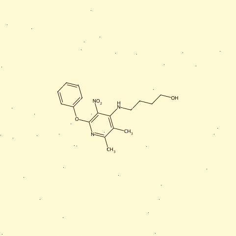 Cc1nc(Oc2ccccc2)c([N+](=O)[O-])c(NCCCCO)c1C